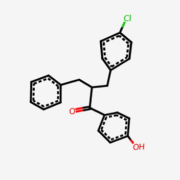 O=C(c1ccc(O)cc1)C(Cc1ccccc1)Cc1ccc(Cl)cc1